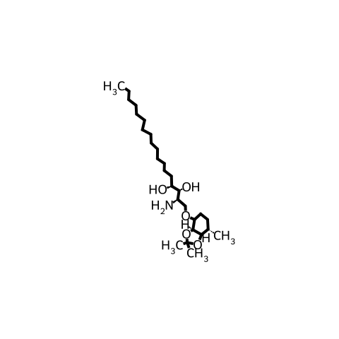 CCCCCCCCCCCCCC[C@H](O)[C@H](O)[C@H](N)COC1CC[C@H](C)[C@@H]2OC(C)(C)O[C@@H]12